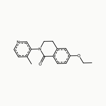 CCOc1ccc2c(c1)CCN(c1cnccc1C)C2=O